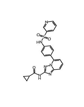 O=C(Nc1nc2cccc(-c3ccc(NS(=O)(=O)c4cccnc4)cc3)n2n1)C1CC1